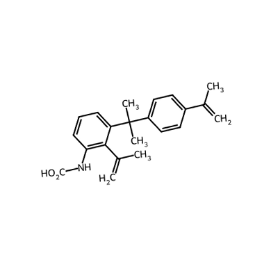 C=C(C)c1ccc(C(C)(C)c2cccc(NC(=O)O)c2C(=C)C)cc1